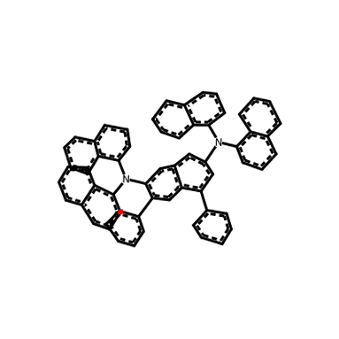 c1ccc(-c2cc3c(-c4ccccc4)cc(N(c4cccc5ccccc45)c4cccc5ccccc45)cc3cc2N(c2cccc3ccccc23)c2cccc3ccccc23)cc1